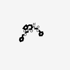 O=C(CNC1CCc2ccccc2N(CC(=O)OCc2ccccc2)C1=O)OCc1ccccc1